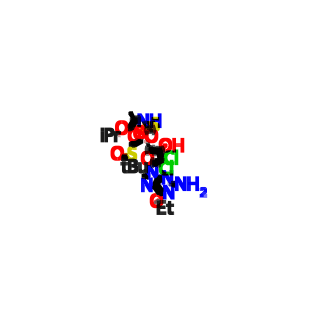 CCOc1nc(N)nc2c1ncn2[C@@H]1O[C@H](CO[P@@](=S)(N[C@H](C)C(=O)OC(C)C)OCCSC(=O)C(C)(C)C)[C@@H](O)C1(Cl)Cl